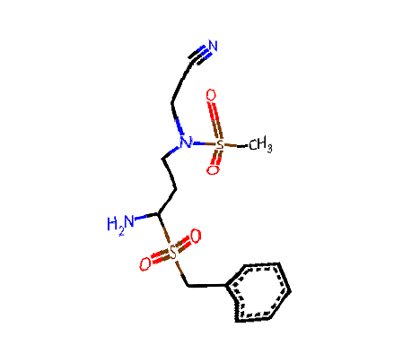 CS(=O)(=O)N(CC#N)CCC(N)S(=O)(=O)Cc1ccccc1